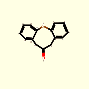 O=C1Cc2ccccc2Sc2ccccc2C1